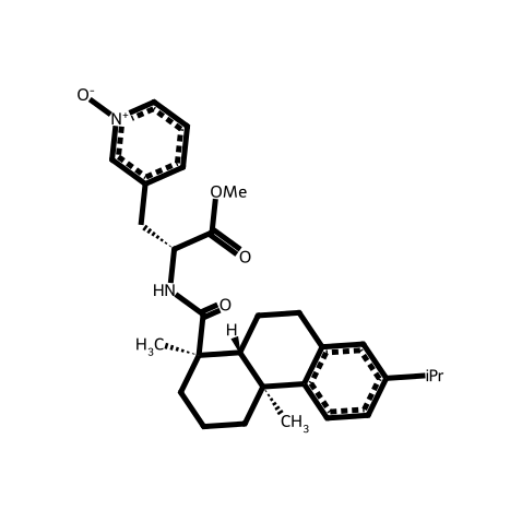 COC(=O)[C@@H](Cc1ccc[n+]([O-])c1)NC(=O)[C@]1(C)CCC[C@]2(C)c3ccc(C(C)C)cc3CC[C@@H]12